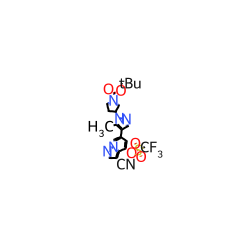 Cc1c(-c2cc(OS(=O)(=O)C(F)(F)F)c3c(C#N)cnn3c2)cnn1[C@H]1CCN(C(=O)OC(C)(C)C)C1